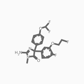 CN1C(=O)C(c2ccc(OC(F)F)cc2)(c2ccc(F)c(OCCF)c2)N=C1N